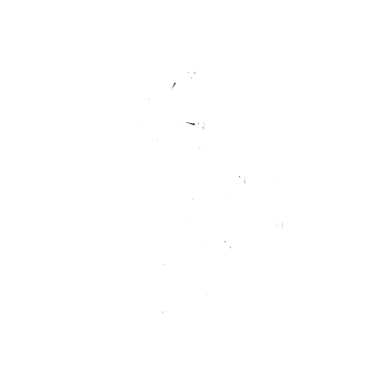 CO[C@@H]1OC(=O)C[C@@H]1NC(=O)[C@@H]1CCCN1C(=O)[C@@H](NC(=O)c1ccccc1Cl)C(C)(C)C